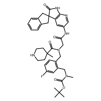 CN(Cc1cc(F)ccc1CN(CC(=O)Nc1cnc2c(c1)C1(Cc3ccccc3C1)C(=O)N2)C(=O)C1(C)CCNCC1)C(=O)OC(C)(C)C